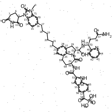 Cn1c(=O)n(C2CCC(=O)NC2=O)c2ccc(CCCCCCc3cc4c5c(c3)C[C@@H](C(O)N[C@@H](CCC(N)=O)c3ccccn3)N5C(=O)[C@@H](NC(=O)c3cc5cc(C(=O)P(=O)(O)O)ccc5[nH]3)CC4)cc21